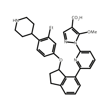 CCc1cc(OC2CCc3cccc(-c4cccc(-n5ncc(C(=O)O)c5OC)n4)c32)ccc1C1CCNCC1